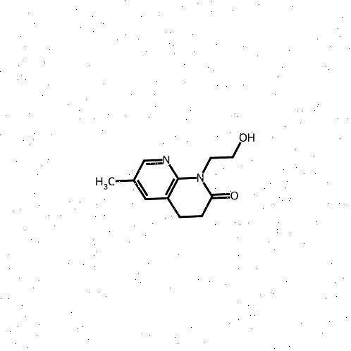 Cc1cnc2c(c1)CCC(=O)N2CCO